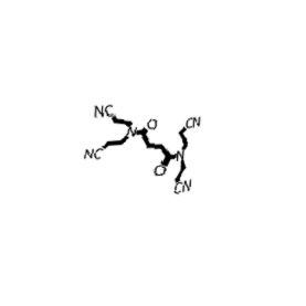 N#CCCN(CCC#N)C(=O)CCC(=O)N(CCC#N)CCC#N